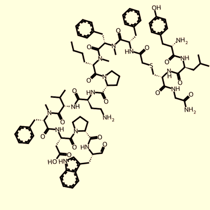 CCCC[C@@H](C(=O)N1CCC[C@@H]1C(=O)N[C@@H](CCN)C(=O)N[C@H](C(=O)N(C)[C@@H](Cc1ccccc1)C(=O)N[C@@H](CC(=O)O)C(=O)N1CCC[C@@H]1C(=O)N[C@H](C=O)Cc1c[nH]c2ccccc12)C(C)C)N(C)C(=O)[C@H](Cc1ccccc1)N(C)C(=O)[C@H](Cc1ccccc1)NC(=O)CSC[C@H](NC(=O)[C@H](CC(C)C)NC(=O)[C@@H](N)Cc1ccc(O)cc1)C(=O)NCC(N)=O